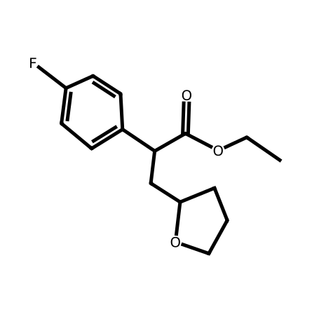 CCOC(=O)C(CC1CCCO1)c1ccc(F)cc1